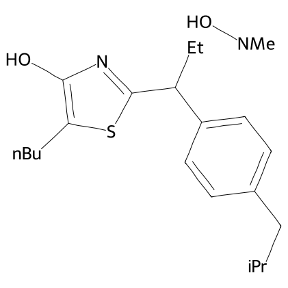 CCCCc1sc(C(CC)c2ccc(CC(C)C)cc2)nc1O.CNO